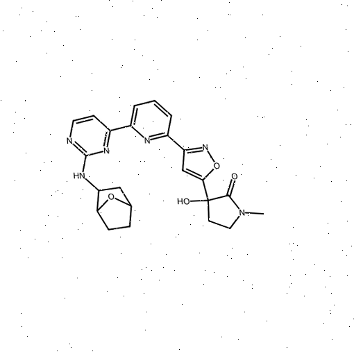 CN1CCC(O)(c2cc(-c3cccc(-c4ccnc(NC5CC6CCC5O6)n4)n3)no2)C1=O